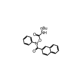 CCCCNC(=O)ON(C(=O)c1ccc2ccccc2c1)c1ccccc1